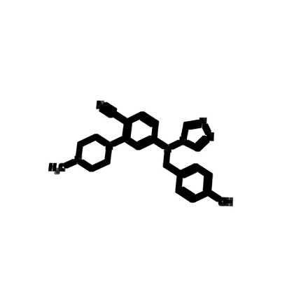 CN1CCN(c2cc(N(Cc3ccc(O)cc3)n3cnnc3)ccc2C#N)CC1